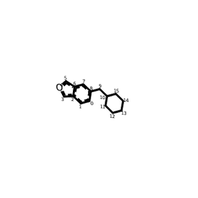 c1cc2cocc2cc1CC1CCCCC1